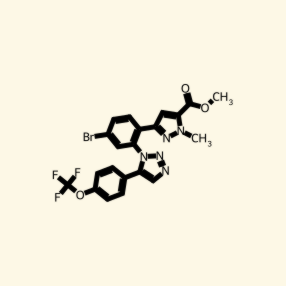 COC(=O)c1cc(-c2ccc(Br)cc2-n2nncc2-c2ccc(OC(F)(F)F)cc2)nn1C